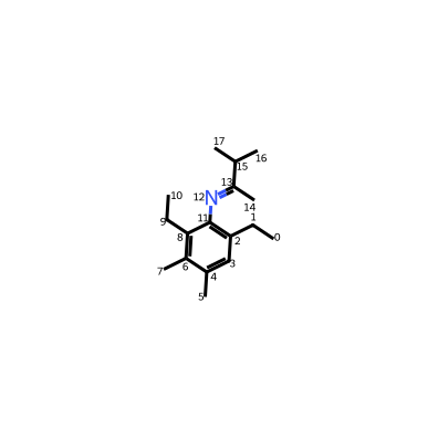 CCc1cc(C)c(C)c(CC)c1N=C(C)C(C)C